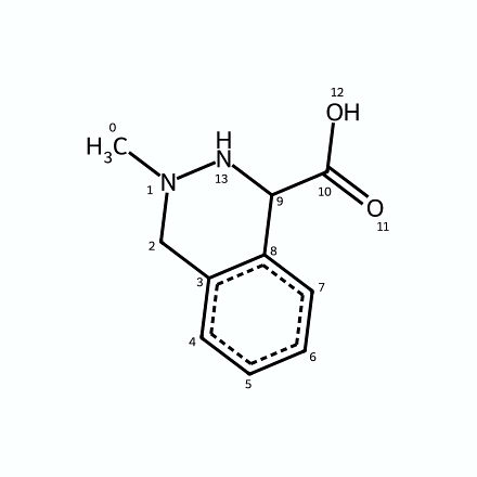 CN1Cc2ccccc2C(C(=O)O)N1